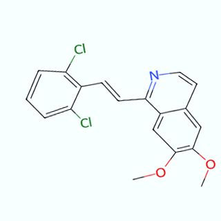 COc1cc2ccnc(C=Cc3c(Cl)cccc3Cl)c2cc1OC